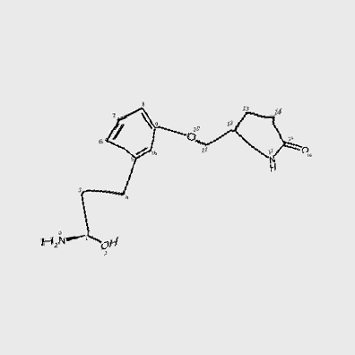 N[C@H](O)CCc1cccc(OCC2CCC(=O)N2)c1